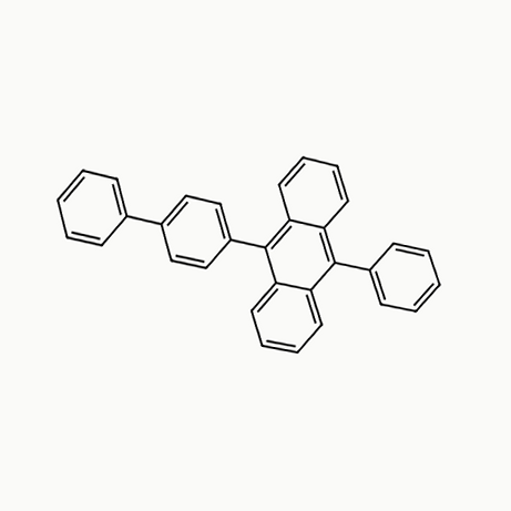 c1ccc(-c2ccc(-c3c4ccccc4c(-c4ccccc4)c4ccccc34)cc2)cc1